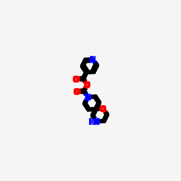 O=C(OC(=O)N1CCC2(CC1)CNCCO2)c1ccncc1